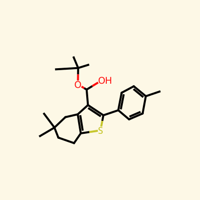 Cc1ccc(-c2sc3c(c2C(O)OC(C)(C)C)CC(C)(C)CC3)cc1